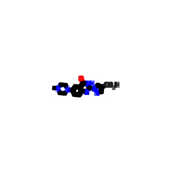 CN1CCN(c2ccc3nc(-n4cc(C(=O)O)cn4)[nH]c(=O)c3c2)CC1